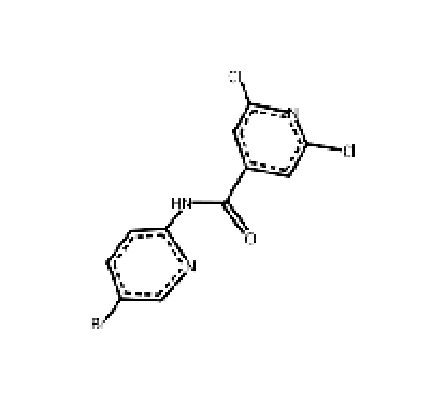 O=C(Nc1ccc(Br)cn1)c1cc(Cl)nc(Cl)c1